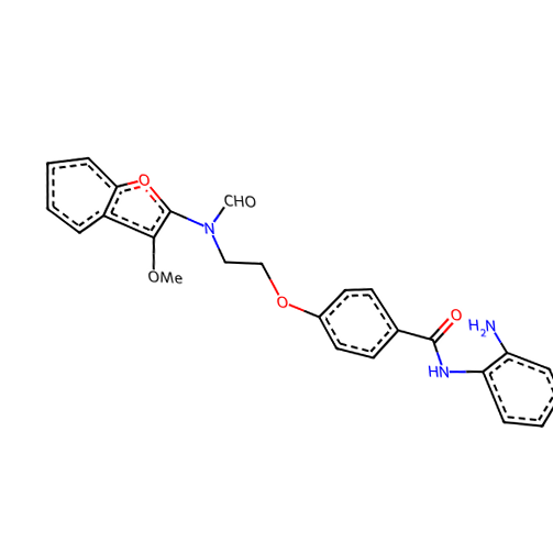 COc1c(N(C=O)CCOc2ccc(C(=O)Nc3ccccc3N)cc2)oc2ccccc12